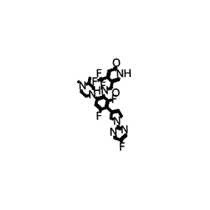 CC1CN(c2cc(F)c(C3=CCN(c4ncc(F)cn4)C3)c(F)c2NC(=O)c2c[nH]c(=O)cc2C(F)(F)F)CCN1C